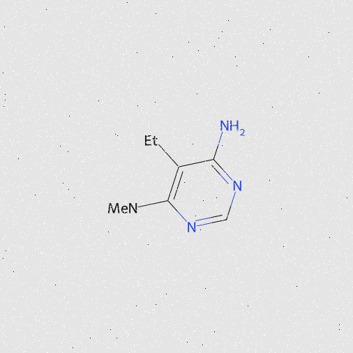 CCc1c(N)ncnc1NC